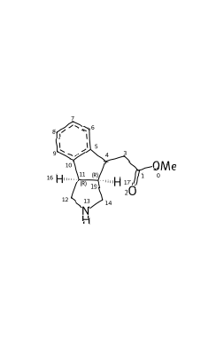 COC(=O)CC1c2ccccc2[C@@H]2CNC[C@H]12